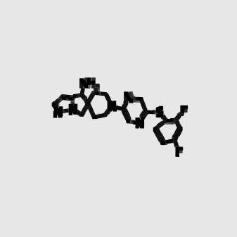 NC1c2ccnn2CC12CCN(c1cnc(Sc3ccc(F)cc3F)cn1)CC2